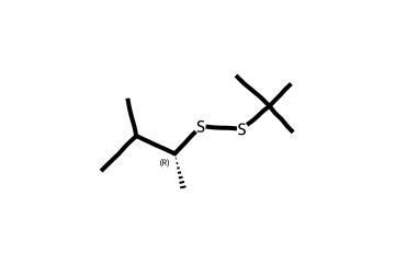 CC(C)[C@@H](C)SSC(C)(C)C